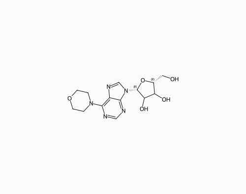 OC[C@H]1O[C@@H](n2cnc3c(N4CCOCC4)ncnc32)C(O)C1O